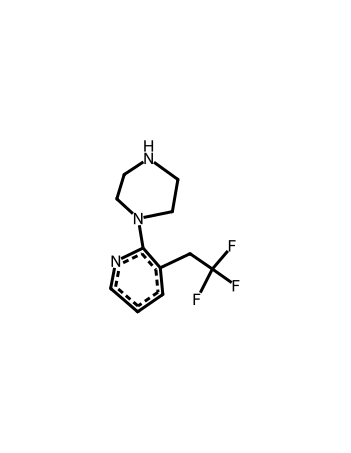 FC(F)(F)Cc1cccnc1N1CCNCC1